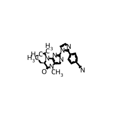 CC[C@@H]1C(=O)N(C)c2cnc(-n3ccnc3-c3ccc(C#N)cc3)nc2N1C(C)C